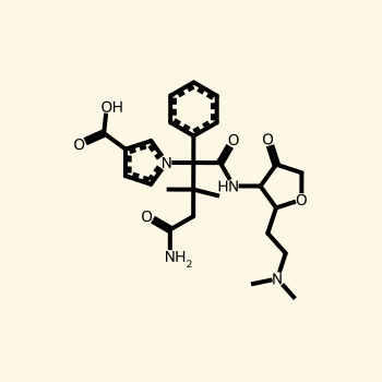 CN(C)CCC1OCC(=O)C1NC(=O)C(c1ccccc1)(n1ccc(C(=O)O)c1)C(C)(C)CC(N)=O